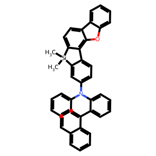 C[Si]1(C)c2cc(N(c3ccccc3)c3ccccc3-c3cccc4ccccc34)ccc2-c2c1ccc1c2oc2ccccc21